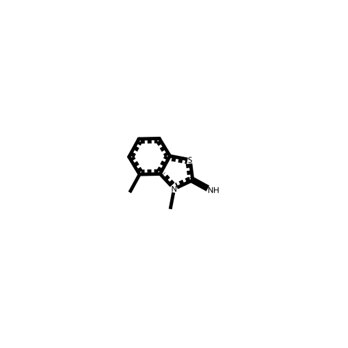 Cc1cccc2sc(=N)n(C)c12